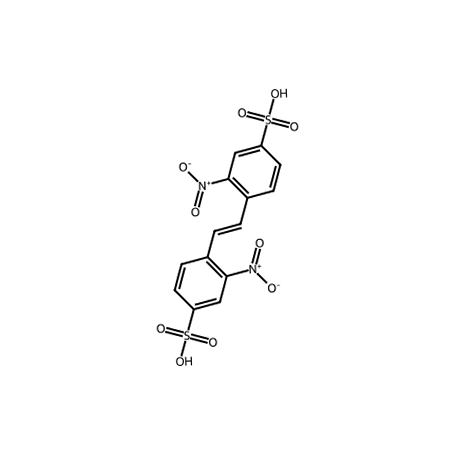 O=[N+]([O-])c1cc(S(=O)(=O)O)ccc1C=Cc1ccc(S(=O)(=O)O)cc1[N+](=O)[O-]